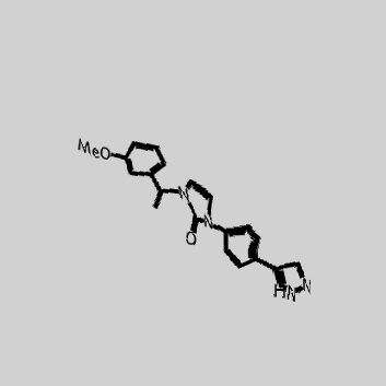 COc1cccc(C(C)n2ccn(-c3ccc(-c4cn[nH]c4)cc3)c2=O)c1